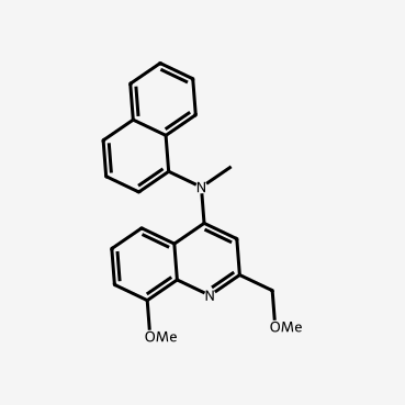 COCc1cc(N(C)c2cccc3ccccc23)c2cccc(OC)c2n1